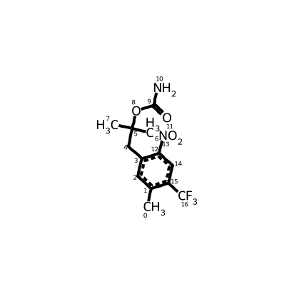 Cc1cc(CC(C)(C)OC(N)=O)c([N+](=O)[O-])cc1C(F)(F)F